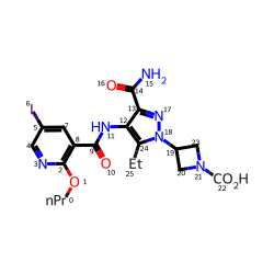 CCCOc1ncc(I)cc1C(=O)Nc1c(C(N)=O)nn(C2CN(C(=O)O)C2)c1CC